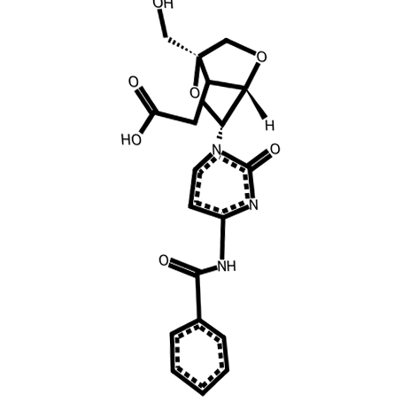 O=C(O)CC1[C@@H]2OC[C@]1(CO)O[C@H]2n1ccc(NC(=O)c2ccccc2)nc1=O